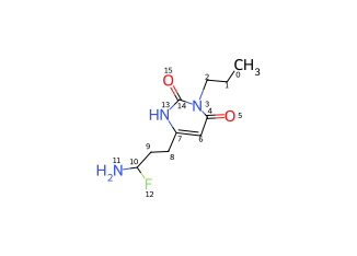 CCCn1c(=O)cc(CCC(N)F)[nH]c1=O